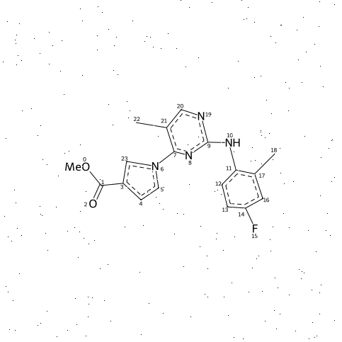 COC(=O)c1ccn(-c2nc(Nc3ccc(F)cc3C)ncc2C)c1